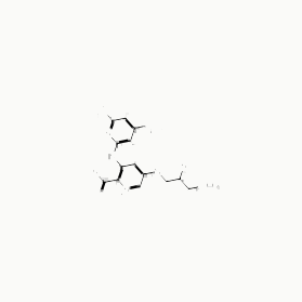 CSCC(N)CNc1cnc(C(N)=O)c(Nc2cc(C)cc(C)n2)c1